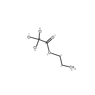 CCCOC(=O)C(Cl)(Cl)Cl